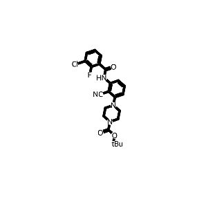 CC(C)(C)OC(=O)N1CCN(c2cccc(NC(=O)c3cccc(Cl)c3F)c2C#N)CC1